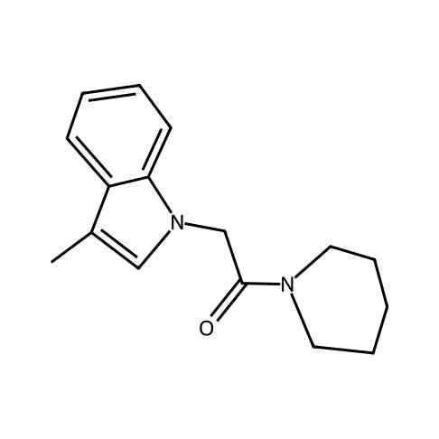 Cc1cn(CC(=O)N2CCCCC2)c2ccccc12